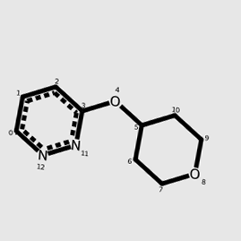 [c]1ccc(OC2CCOCC2)nn1